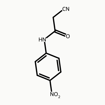 N#CCC(=O)Nc1ccc([N+](=O)[O-])cc1